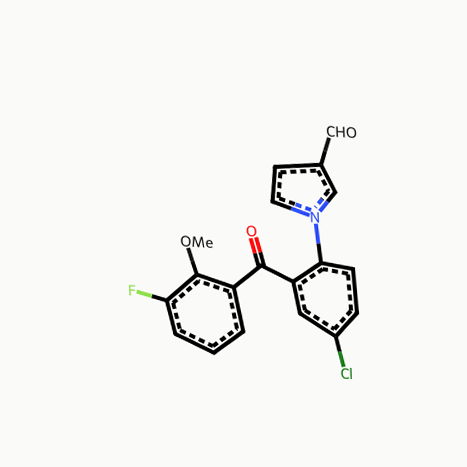 COc1c(F)cccc1C(=O)c1cc(Cl)ccc1-n1ccc(C=O)c1